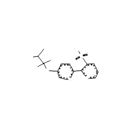 CCS(=O)(=O)c1cccnc1-c1ccc(OC(F)(F)C(C)F)cn1